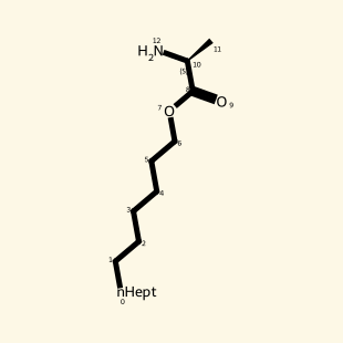 CCCCCCCCCCCCCOC(=O)[C@H](C)N